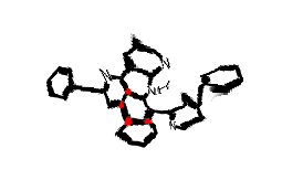 c1ccc(-c2ccnc(-c3ccccc3Nc3ncccc3-c3cc(-c4ccccc4)cc(-c4ccccc4)n3)c2)cc1